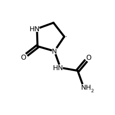 NC(=O)NN1[CH]CNC1=O